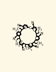 CCC1c2ccc(C#N)c(c2)C(CC)c2ccc(C#N)c(c2)C(CC)c2ccc(C#N)c(c2)C(CC)c2ccc(C#N)c(c2)C(CC)c2ccc(C#N)c(c2)Cc2ccc(C#N)c1c2